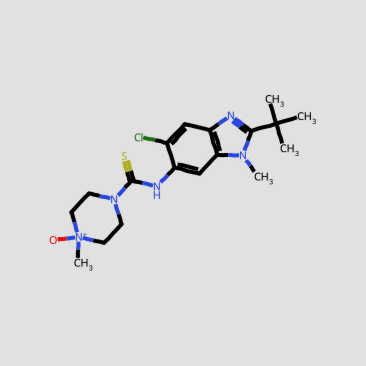 Cn1c(C(C)(C)C)nc2cc(Cl)c(NC(=S)N3CC[N+](C)([O-])CC3)cc21